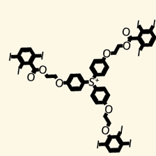 O=C(OCCOc1ccc([S+](c2ccc(OCCOC(=O)c3c(I)ccc(I)c3I)cc2)c2ccc(OCCOc3c(I)ccc(I)c3I)cc2)cc1)c1c(I)ccc(I)c1I